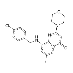 Cc1cc(NCc2ccc(Cl)cc2)c2nc(N3CCOCC3)cc(=O)n2c1